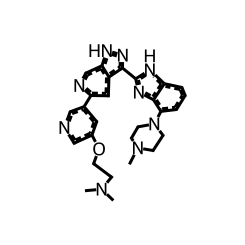 CN(C)CCOc1cncc(-c2cc3c(-c4nc5c(N6CCN(C)CC6)cccc5[nH]4)n[nH]c3cn2)c1